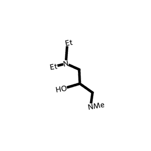 CCN(CC)CC(O)CNC